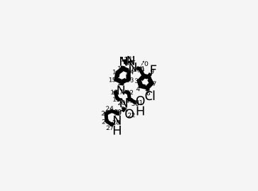 C[C@H](c1ccc(Cl)cc1F)n1nnc2ccc(N3CCN(C(=O)[C@H]4CCCCN4)C(CO)C3)cc21